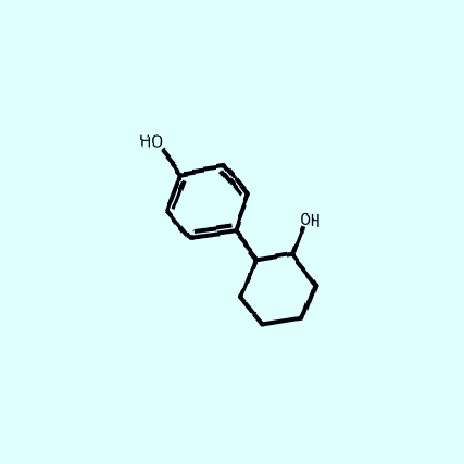 Oc1ccc(C2CCCCC2O)cc1